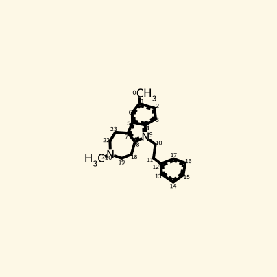 Cc1ccc2c(c1)c1c(n2CCc2ccccc2)CCN(C)CC1